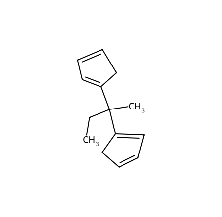 CCC(C)(C1=CC=CC1)C1=CC=CC1